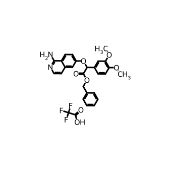 COc1ccc(C(Oc2ccc3c(N)nccc3c2)C(=O)OCc2ccccc2)cc1OC.O=C(O)C(F)(F)F